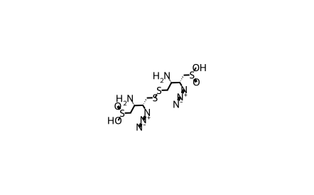 [N-]=[N+]=N[C@@H](CS(=O)O)[C@@H](N)CSSC[C@H](N=[N+]=[N-])[C@@H](N)CS(=O)O